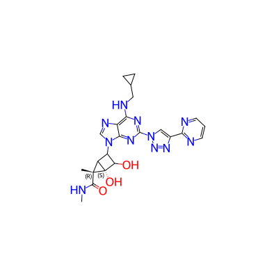 CNC(=O)[C@]1(C)C2C(n3cnc4c(NCC5CC5)nc(-n5cc(-c6ncccn6)nn5)nc43)C(O)[C@]21O